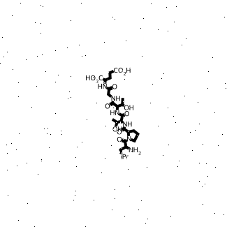 CC(C)CC(N)C(=O)N1CCCC1C(=O)NC(C(=O)NC(C(=O)NCC(=O)NC(CCC(=O)O)C(=O)O)C(C)O)C(C)O